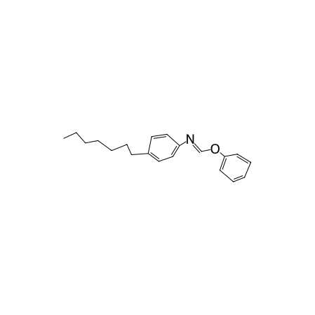 CCCCCCCc1ccc(N=COc2ccccc2)cc1